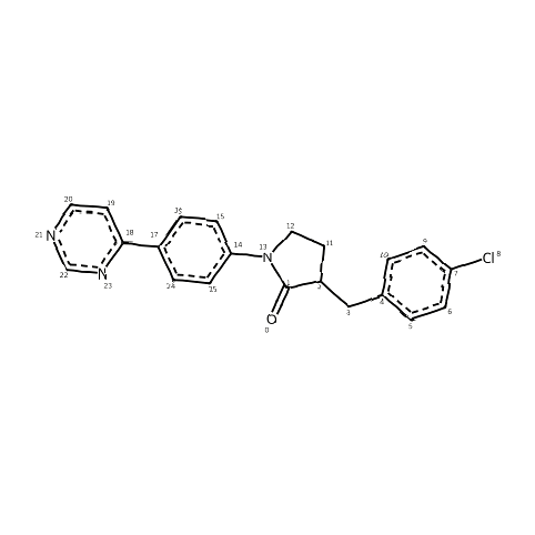 O=C1C(Cc2ccc(Cl)cc2)CCN1c1ccc(-c2ccncn2)cc1